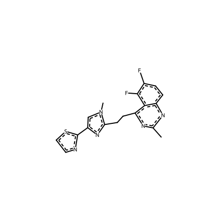 Cc1nc(CCc2nc(-c3nccs3)cn2C)c2c(F)c(F)ccc2n1